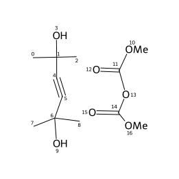 CC(C)(O)C#CC(C)(C)O.COC(=O)OC(=O)OC